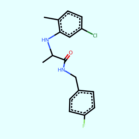 Cc1ccc(Cl)cc1NC(C)C(=O)NCc1ccc(F)cc1